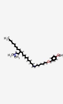 CCCCCCCCCC(CCCCCCCCC/C=C\CCCCCCOCc1ccc(OC)cc1)CCN(C)C